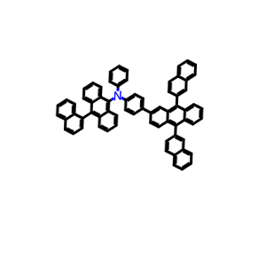 c1ccc(N(c2ccc(-c3ccc4c(-c5ccc6ccccc6c5)c5ccccc5c(-c5ccc6ccccc6c5)c4c3)cc2)c2c3ccccc3c(-c3cccc4ccccc34)c3ccccc23)cc1